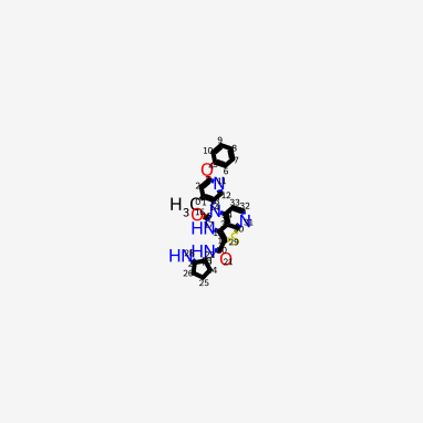 Cc1cc(Oc2ccccc2)ncc1N1C(=O)Nc2c(C(=O)N[C@@H]3CCCC3=N)sc3nccc1c23